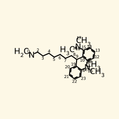 C=NCCCCCCCC(c1ccccc1N(C)C)c1ccccc1N(C)C